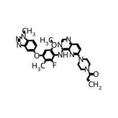 C=CC(=O)N1CCN(c2ccc3ncnc(Nc4c(OC)cc(Oc5ccc6c(c5)nnn6C)c(C)c4F)c3n2)CC1